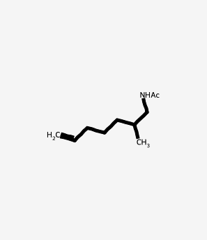 C=CCCCC(C)CNC(C)=O